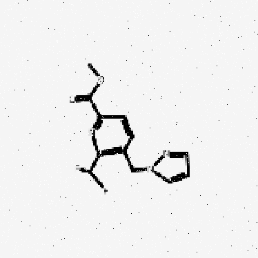 COC(=O)c1ccc(Cn2cccn2)c(C(F)F)n1